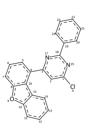 Clc1cc(-c2cccc3oc4ccccc4c23)nc(-c2ccccc2)n1